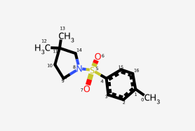 Cc1ccc(S(=O)(=O)N2[CH]CC(C)(C)C2)cc1